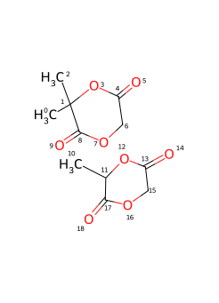 CC1(C)OC(=O)COC1=O.CC1OC(=O)COC1=O